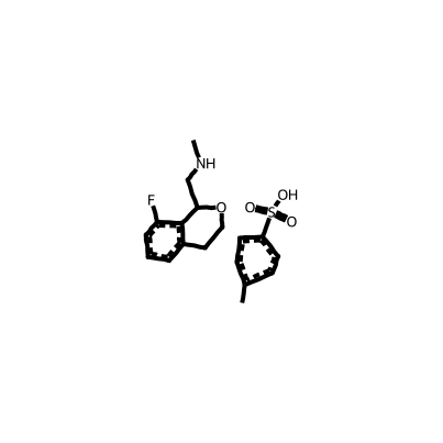 CNCC1OCCc2cccc(F)c21.Cc1ccc(S(=O)(=O)O)cc1